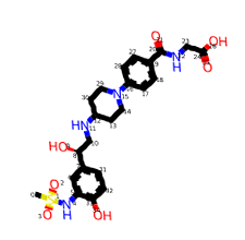 CS(=O)(=O)Nc1cc([C@@H](O)CNC2CCN(c3ccc(C(=O)NCC(=O)O)cc3)CC2)ccc1O